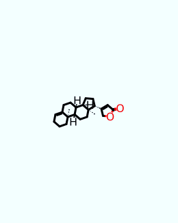 C[C@]12CC[C@H]3[C@@H](CCC4=CCCC[C@@]43C)[C@H]1CC[C@@H]2C1=CC(=O)OC1